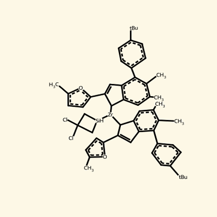 Cc1ccc(C2=Cc3c(cc(C)c(C)c3-c3ccc(C(C)(C)C)cc3)[CH]2[Zr]([CH]2C(c3ccc(C)o3)=Cc3c2cc(C)c(C)c3-c2ccc(C(C)(C)C)cc2)[SiH]2CC(Cl)(Cl)C2)o1